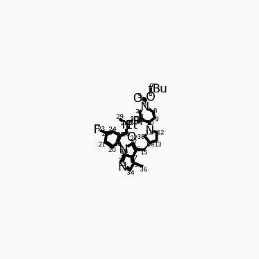 CCC1CN(C(=O)OC(C)(C)C)CCC1N1CC[C@@H](Cc2cn(-c3ccc(F)cc3C(=O)N(C)C(C)C)c3cncc(C)c23)C1